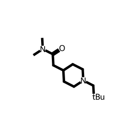 CN(C)C(=O)CC1CCN(CC(C)(C)C)CC1